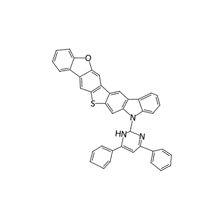 C1=C(c2ccccc2)NC(n2c3ccccc3c3cc4c(cc32)sc2cc3c(cc24)oc2ccccc23)N=C1c1ccccc1